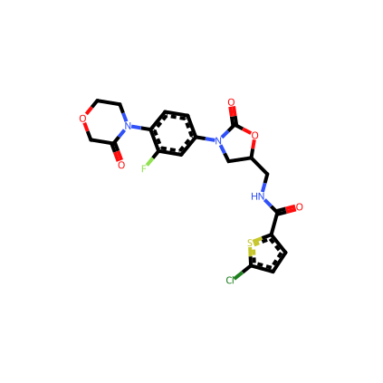 O=C(NCC1CN(c2ccc(N3CCOCC3=O)c(F)c2)C(=O)O1)c1ccc(Cl)s1